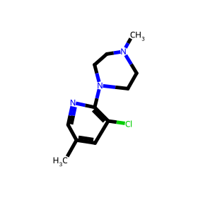 Cc1cnc(N2CCN(C)CC2)c(Cl)c1